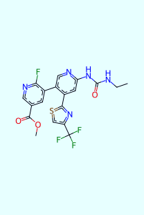 CCNC(=O)Nc1cc(-c2nc(C(F)(F)F)cs2)c(-c2cc(C(=O)OC)cnc2F)cn1